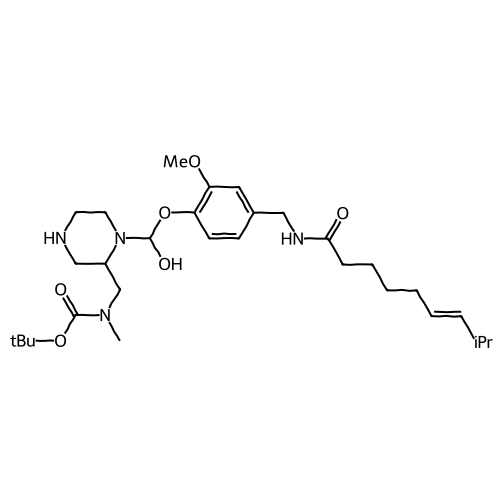 COc1cc(CNC(=O)CCCC/C=C/C(C)C)ccc1OC(O)N1CCNCC1CN(C)C(=O)OC(C)(C)C